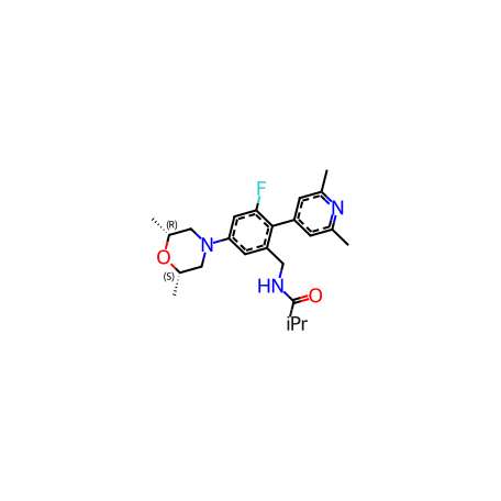 Cc1cc(-c2c(F)cc(N3C[C@@H](C)O[C@@H](C)C3)cc2CNC(=O)C(C)C)cc(C)n1